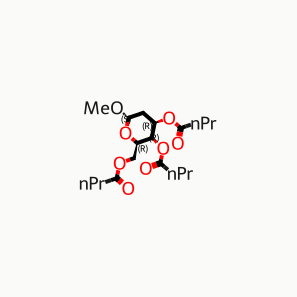 CCCC(=O)OC[C@H]1O[C@H](OC)C[C@@H](OC(=O)CCC)[C@H]1OC(=O)CCC